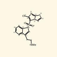 CNCCc1cn(S(=O)(=O)c2c(Cl)nc3sccn23)c2ccccc12